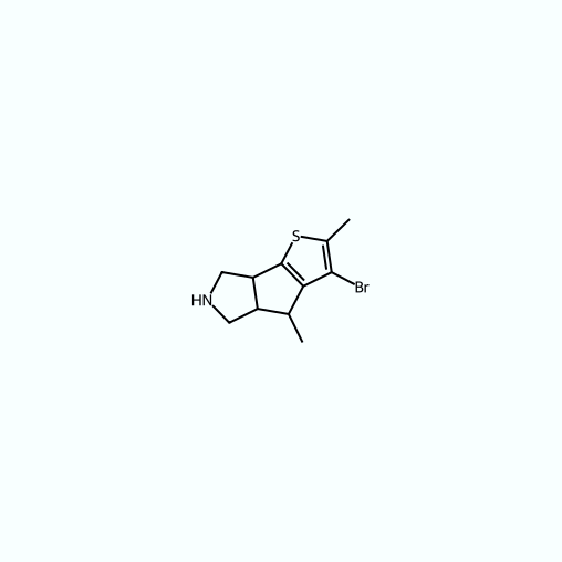 Cc1sc2c(c1Br)C(C)C1CNCC21